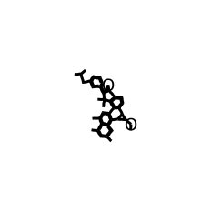 COC1C2c3ccc4c(c3-c3cc(C)c5c(C)cc(C)cc5c3C12)C(C)(C)c1c-4oc2ccc(CC(C)C)cc12